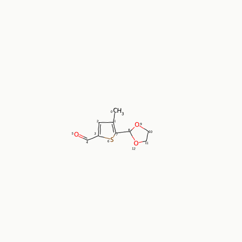 Cc1cc(C=O)sc1C1OCCO1